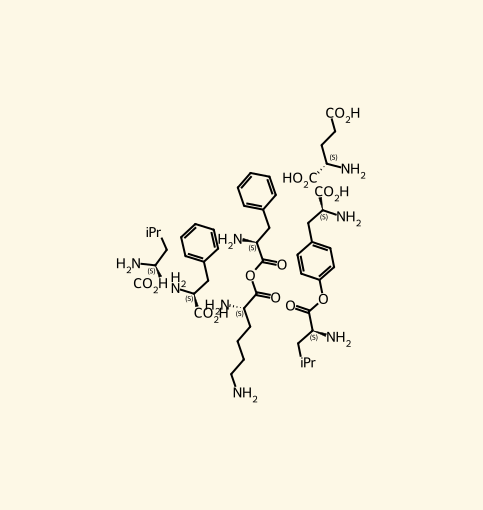 CC(C)C[C@H](N)C(=O)O.CC(C)C[C@H](N)C(=O)Oc1ccc(C[C@H](N)C(=O)O)cc1.NCCCC[C@H](N)C(=O)OC(=O)[C@@H](N)Cc1ccccc1.N[C@@H](CCC(=O)O)C(=O)O.N[C@@H](Cc1ccccc1)C(=O)O